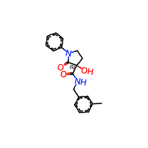 Cc1cccc(CNC(=O)[C@@]2(O)CCN(c3ccccc3)C2=O)c1